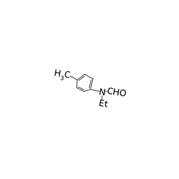 CCN(C=O)c1ccc(C)cc1